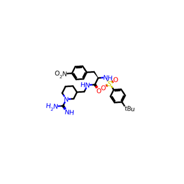 CC(C)(C)c1ccc(S(=O)(=O)N[C@H](Cc2ccc([N+](=O)[O-])cc2)C(=O)NCC2CCCN(C(=N)N)C2)cc1